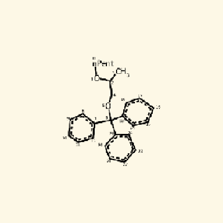 CCCCCOC(C)COC(c1ccccc1)(c1ccccc1)c1ccccc1